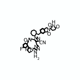 CN1Cc2c(c(C#N)nn2C2CCCCCC2Cc2ccc3c(c2)C(=O)N(C2CCC(=O)NC2=O)C3)-c2cnc(N)c(n2)N2CCC[C@@H]2c2cc(F)ccc2C1=O